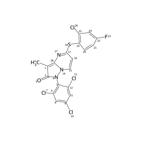 Cc1c(=O)n(-c2c(Cl)cc(Cl)cc2Cl)n2ccc(Sc3ccc(F)cc3Cl)nc12